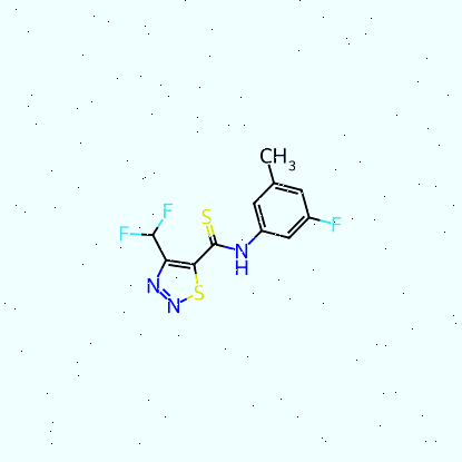 Cc1cc(F)cc(NC(=S)c2snnc2C(F)F)c1